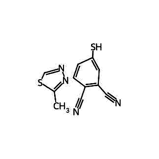 Cc1nncs1.N#Cc1ccc(S)cc1C#N